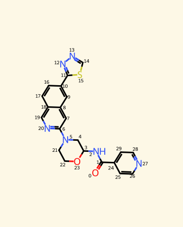 O=C(NC1CN(c2cc3cc(-c4nncs4)ccc3cn2)CCO1)c1ccncc1